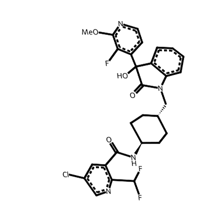 COc1nccc(C2(O)C(=O)N(C[C@H]3CC[C@H](NC(=O)c4cc(Cl)cnc4C(F)F)CC3)c3ccccc32)c1F